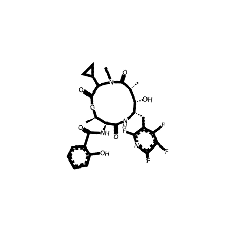 C[C@H]1OC(=O)C(C2CC2)N(C)C(=O)[C@H](C)[C@H](O)[C@H](Cc2c(F)nc(F)c(F)c2F)NC(=O)[C@H]1NC(=O)c1ccccc1O